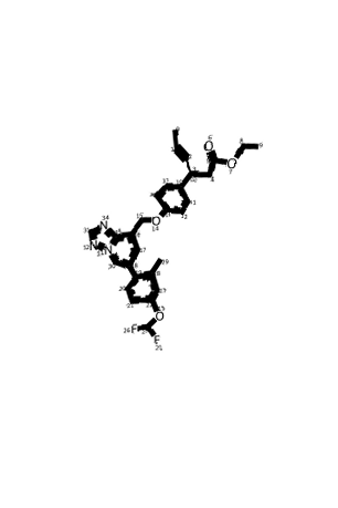 CC#C[C@@H](CC(=O)OCC)c1ccc(OCc2cc(-c3ccc(OC(F)F)cc3C)cn3ncnc23)cc1